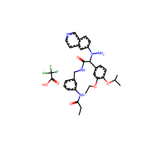 CCOc1cc(C(C(=O)NCc2cccc(NC(=O)CC)c2)N(N)c2ccc3cnccc3c2)ccc1OC(C)C.O=C(O)C(F)(F)F